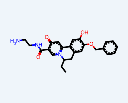 CCC1Cc2cc(OCc3ccccc3)c(O)cc2-c2cc(=O)c(C(=O)NCCN)cn21